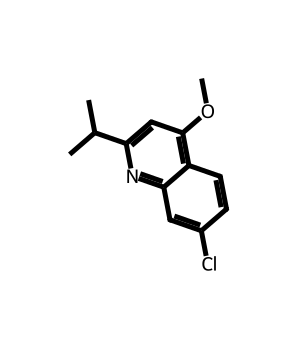 COc1cc(C(C)C)nc2cc(Cl)ccc12